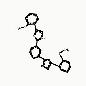 CSc1ccccc1-c1c[nH]c(-c2cccc(-c3nc(-c4ccccc4SC)c[nH]3)c2)n1